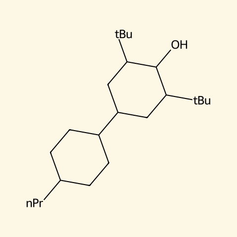 CCCC1CCC(C2CC(C(C)(C)C)C(O)C(C(C)(C)C)C2)CC1